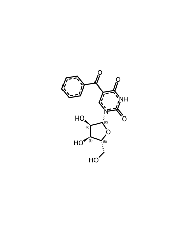 O=C(c1ccccc1)c1cn([C@@H]2O[C@H](CO)[C@@H](O)[C@H]2O)c(=O)[nH]c1=O